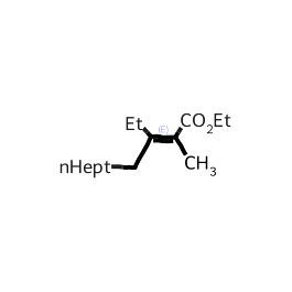 CCCCCCCC/C(CC)=C(\C)C(=O)OCC